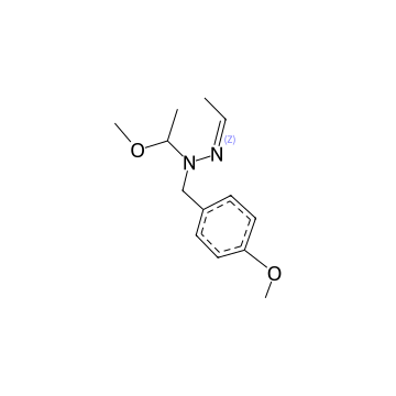 C/C=N\N(Cc1ccc(OC)cc1)C(C)OC